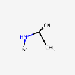 CC(=O)N[C@H](C)C#N